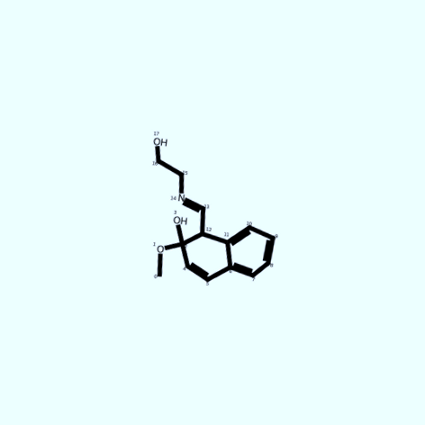 COC1(O)C=Cc2ccccc2C1/C=N/CCO